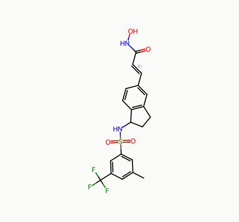 Cc1cc(C(F)(F)F)cc(S(=O)(=O)NC2CCc3cc(/C=C/C(=O)NO)ccc32)c1